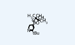 CC(C)(C)C1=NCCC(B2OC(C)(C)C(C)(C)O2)=C1